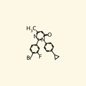 Cc1cc(=O)n(-c2ccc(C3CC3)cc2)c(-c2ccc(Br)c(F)c2)n1